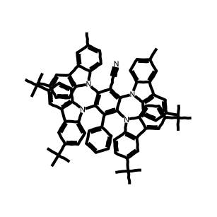 Cc1ccc2c(c1)c1cc(C)ccc1n2-c1c(C#N)c(-n2c3ccc(C)cc3c3cc(C)ccc32)c(-n2c3ccc(C(C)(C)C)cc3c3cc(C(C)(C)C)ccc32)c(-c2ccccc2)c1-n1c2ccc(C(C)(C)C)cc2c2cc(C(C)(C)C)ccc21